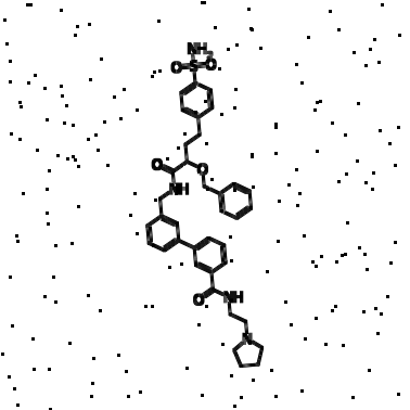 NS(=O)(=O)c1ccc(CCC(OCc2ccccc2)C(=O)NCc2cccc(-c3cccc(C(=O)NCCN4CCCC4)c3)c2)cc1